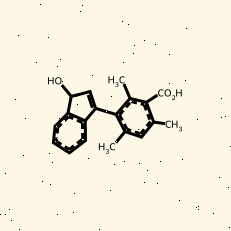 Cc1cc(C)c(C2=CC(O)c3ccccc32)c(C)c1C(=O)O